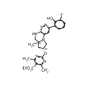 CCOC(=O)c1c(C)nc(O[C@H]2CN3c4cc(-c5cccc(F)c5O)nnc4NC[C@@]3(C)C2)nc1C